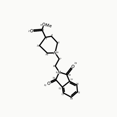 COC(=O)C1CCN(CCN2C(=O)c3ccccc3C2=O)CC1